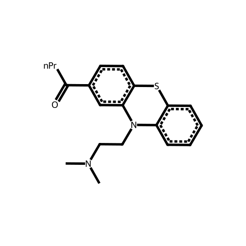 CCCC(=O)c1ccc2c(c1)N(CCN(C)C)c1ccccc1S2